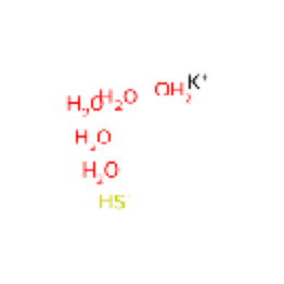 O.O.O.O.O.[K+].[SH-]